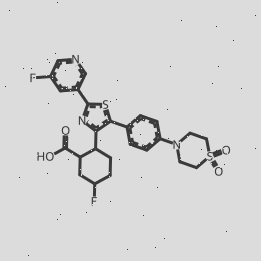 O=C(O)C1CC(F)CCC1c1nc(-c2cncc(F)c2)sc1-c1ccc(N2CCS(=O)(=O)CC2)cc1